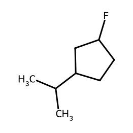 CC(C)C1CCC(F)C1